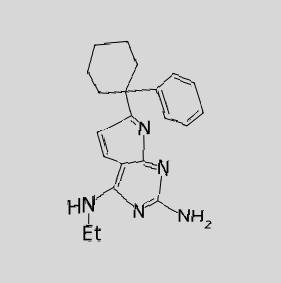 CCNc1nc(N)nc2nc(C3(c4ccccc4)CCCCC3)ccc12